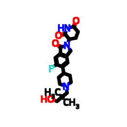 CC(C)(CO)CN1CCC(c2cc3c(cc2F)C(=O)N(C2CCC(=O)NC2=O)C3)CC1